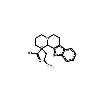 CCC[C@@]1(C(=O)O)CCCN2CCc3c([nH]c4ccccc34)C21